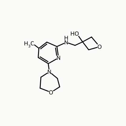 Cc1cc(NCC2(O)COC2)nc(N2CCOCC2)c1